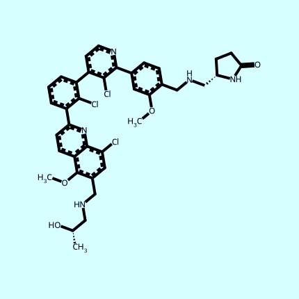 COc1cc(-c2nccc(-c3cccc(-c4ccc5c(OC)c(CNC[C@H](C)O)cc(Cl)c5n4)c3Cl)c2Cl)ccc1CNC[C@@H]1CCC(=O)N1